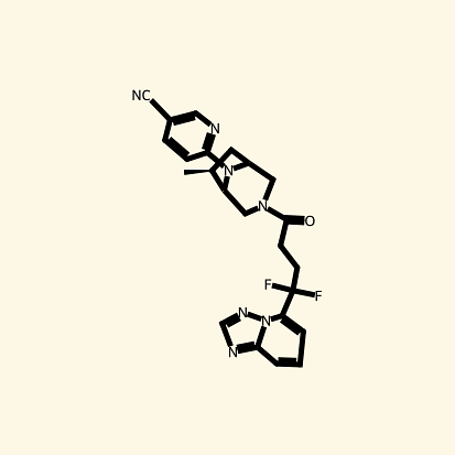 C[C@H]1CC2CN(C(=O)CCC(F)(F)c3cccc4ncnn34)CC1N2c1ccc(C#N)cn1